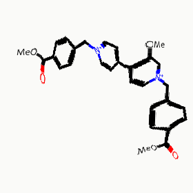 COC(=O)c1ccc(C[n+]2ccc(-c3cc[n+](Cc4ccc(C(=O)OC)cc4)cc3OC)cc2)cc1